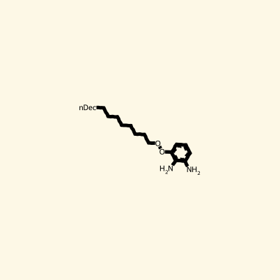 CCCCCCCCCCCCCCCCCCOOc1cccc(N)c1N